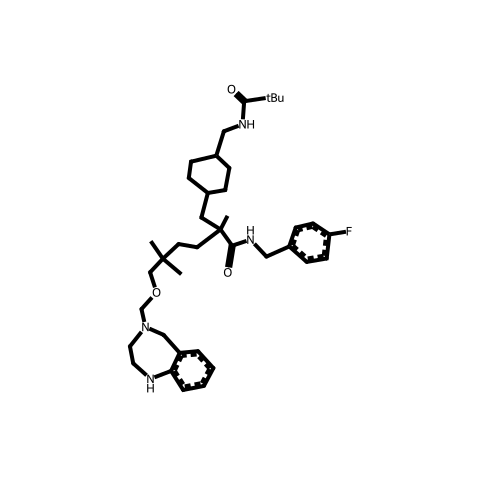 CC(C)(CCC(C)(CC1CCC(CNC(=O)C(C)(C)C)CC1)C(=O)NCc1ccc(F)cc1)COCN1CCNc2ccccc2C1